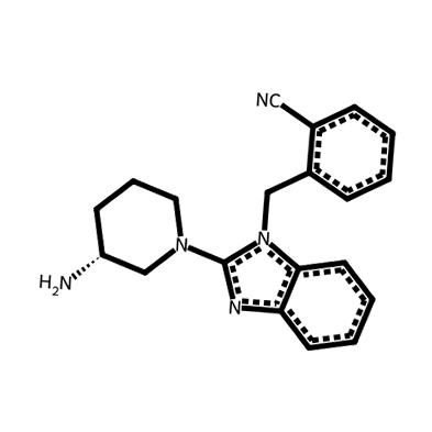 N#Cc1ccccc1Cn1c(N2CCC[C@@H](N)C2)nc2ccccc21